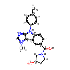 Cn1cnc2c1c1cc(C(=O)N3CC[C@@H](O)C3)ccc1n2-c1ccc(C(F)(F)F)cc1